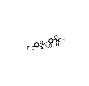 O=C(NO)c1ccc2c(c1)OCCN(C(=O)C1(c3cccc(C(F)(F)F)c3)CC1)C2